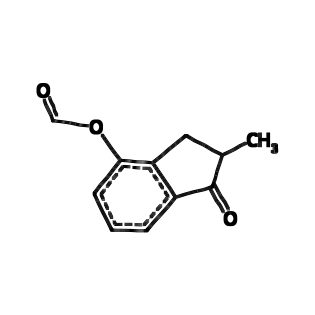 CC1Cc2c(OC=O)cccc2C1=O